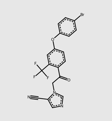 N#Cc1cncn1CC(=O)c1ccc(Oc2ccc(Br)cc2)cc1C(F)(F)F